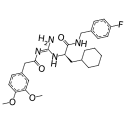 COc1ccc(CC(=O)N=C(N)N[C@H](CC2CCCCC2)C(=O)NCc2ccc(F)cc2)cc1OC